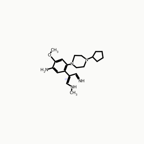 CN/C=C(\C=N)c1cc(N)c(OC)cc1N1CCN(C2CCCC2)CC1